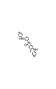 O=C1c2cc(F)c(Nc3ccncc3)cc2CN1c1cccc(Nc2ccncc2)c1